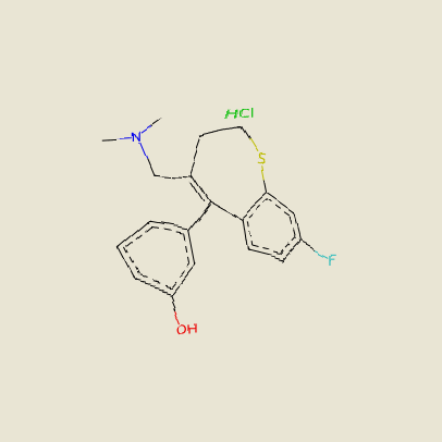 CN(C)CC1=C(c2cccc(O)c2)c2ccc(F)cc2SCC1.Cl